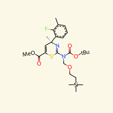 COC(=O)C1=C[C@@](C)(c2cccc(C)c2F)N=C(N(COCC[Si](C)(C)C)C(=O)OC(C)(C)C)S1